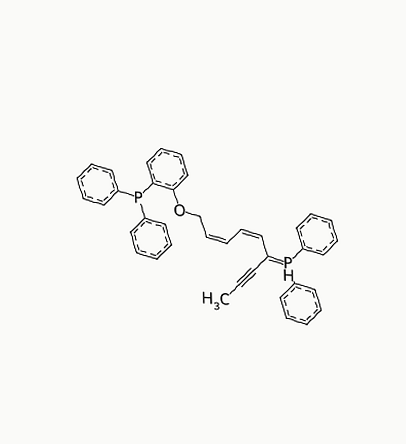 CC#CC(/C=C\C=C/COc1ccccc1P(c1ccccc1)c1ccccc1)=[PH](c1ccccc1)c1ccccc1